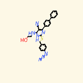 N#CC1=C(c2ccc(-c3ccccc3)cc2)N=C(SCc2ccc(N=[N+]=[N-])cc2)NC1NCCO